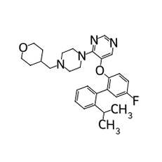 CC(C)c1ccccc1-c1cc(F)ccc1Oc1cncnc1N1CCN(CC2CCOCC2)CC1